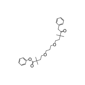 CC(C)(CCOCCCOCCC(C)(C)C(=O)Oc1ccccc1)C(=O)Cc1ccccc1